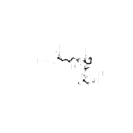 C[C@H](N)C(=O)O.NCCCC[C@H](N)C(=O)O.N[C@@H](CS)C(=O)O.O=C(O)[C@@H]1CCCN1